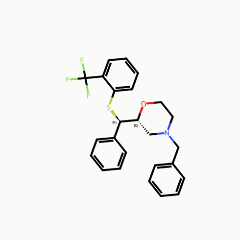 FC(F)(F)c1ccccc1S[C@H](c1ccccc1)[C@H]1CN(Cc2ccccc2)CCO1